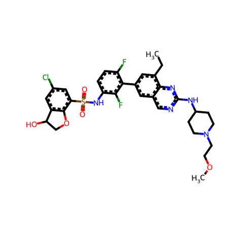 CCc1cc(-c2c(F)ccc(NS(=O)(=O)c3cc(Cl)cc4c3OCC4O)c2F)cc2cnc(NC3CCN(CCOC)CC3)nc12